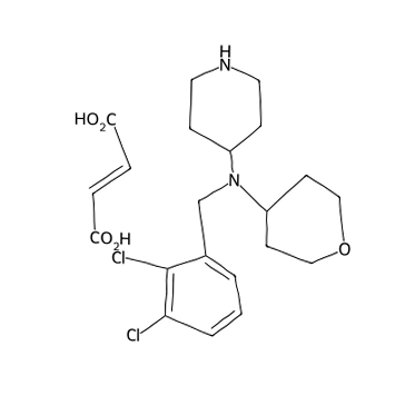 Clc1cccc(CN(C2CCNCC2)C2CCOCC2)c1Cl.O=C(O)C=CC(=O)O